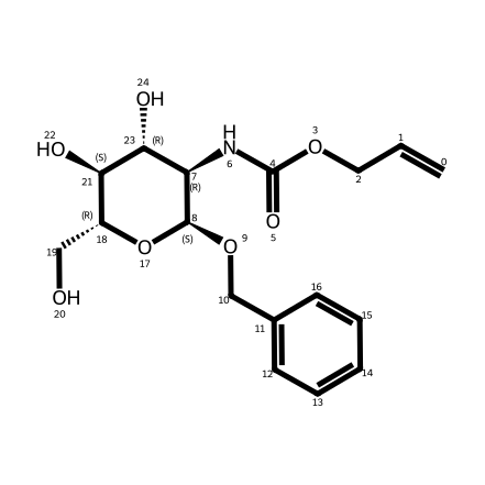 C=CCOC(=O)N[C@H]1[C@@H](OCc2ccccc2)O[C@H](CO)[C@@H](O)[C@@H]1O